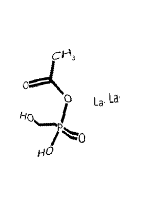 CC(=O)OP(=O)(O)O.[La].[La]